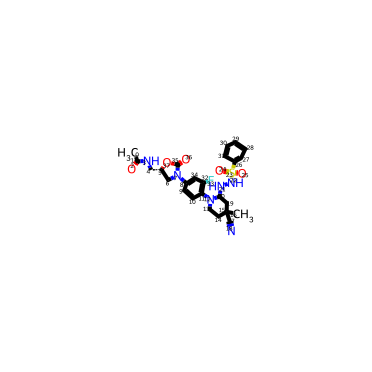 CC(=O)NC[C@H]1CN(c2ccc(N3CCC(C)(C#N)CC3NNS(=O)(=O)c3ccccc3)c(F)c2)C(=O)O1